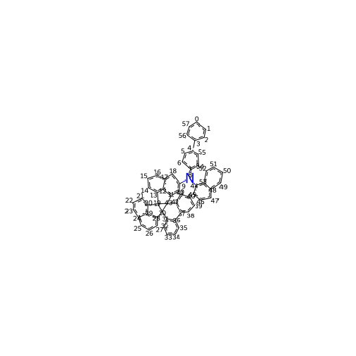 c1ccc(-c2ccc(N(c3cc4c5c(cccc5c3)C35c6cccc7cccc(c67)C36c3ccccc3-c3ccccc3C465)c3cccc4ccccc34)cc2)cc1